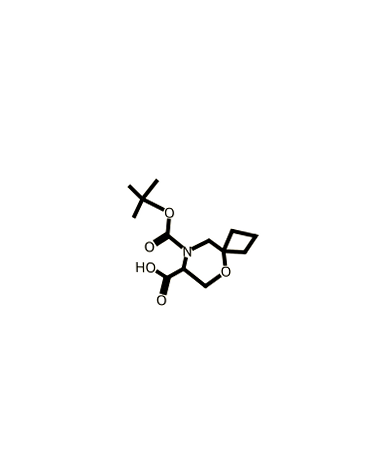 CC(C)(C)OC(=O)N1CC2(CCC2)OCC1C(=O)O